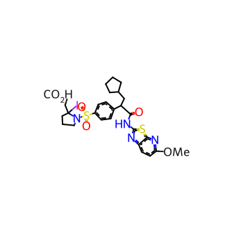 COc1ccc2nc(NC(=O)C(CC3CCCC3)c3ccc(S(=O)(=O)N4CCCC4(I)CC(=O)O)cc3)sc2n1